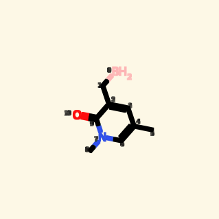 BCc1cc(C)cn(C)c1=O